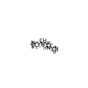 CC(c1ccc2scnc2c1)N1CCc2nc(-c3cccnc3)ccc2C1